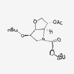 CCCCO[C@@H]1CN(C(=O)OC(C)(C)C)[C@H]2C1OC[C@@H]2OC(C)=O